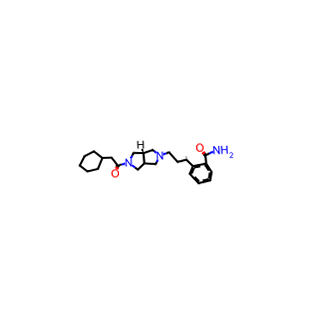 NC(=O)c1ccccc1[CH]CCN1CC2CN(C(=O)CC3CCCCC3)C[C@@H]2C1